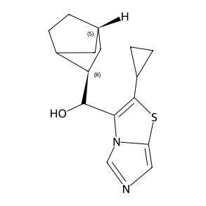 OC(c1c(C2CC2)sc2cncn12)[C@@H]1C[C@H]2CCC1C2